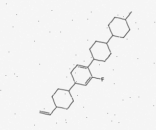 C=CC1CCC(C2C=C(F)C(C3CCC(C4CCC(C)CC4)CC3)=CC2)CC1